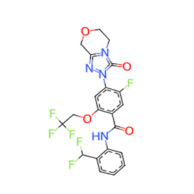 O=C(Nc1ccccc1C(F)F)c1cc(F)c(-n2nc3n(c2=O)CCOC3)cc1OCC(F)(F)F